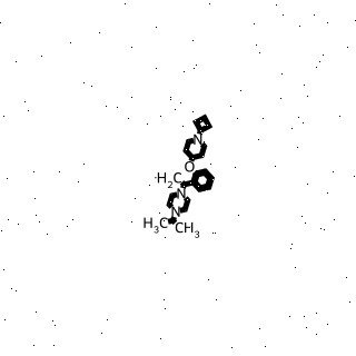 [CH2]C(c1ccccc1OC1CCN(C2CCC2)CC1)N1CCN(C(C)C)CC1